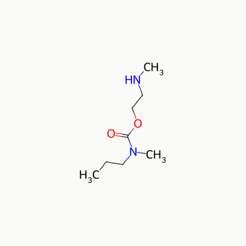 CCCN(C)C(=O)OCCNC